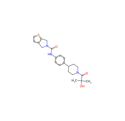 CC(C)(O)C(=O)N1CCC(c2ccc(NC(=O)N3Cc4ccsc4C3)cc2)CC1